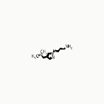 CN(C)Cc1cnn(OCCCN)c1